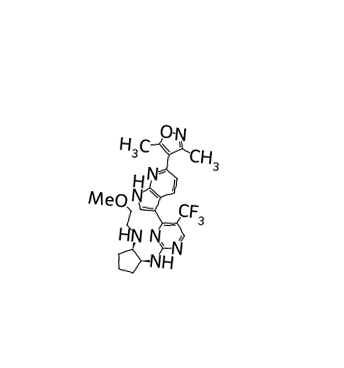 COCCN[C@@H]1CCC[C@@H]1Nc1ncc(C(F)(F)F)c(-c2c[nH]c3nc(-c4c(C)noc4C)ccc23)n1